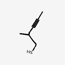 CC#CC(C)CS